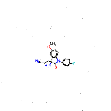 COc1ccc2c(c1)C(N)(CCC#N)C(=O)N2c1ccc(F)cc1